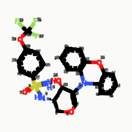 N=S(=O)(N[C@H]1COC=C(N2c3ccccc3Oc3ccccc32)[C@H]1O)c1ccc(OC(F)(F)F)cc1